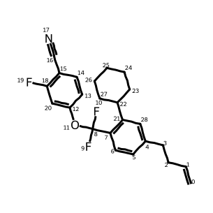 C=CCCc1ccc(C(F)(F)Oc2ccc(C#N)c(F)c2)c(C2CCCCC2)c1